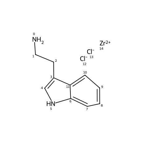 NCCc1c[nH]c2ccccc12.[Cl-].[Cl-].[Zr+2]